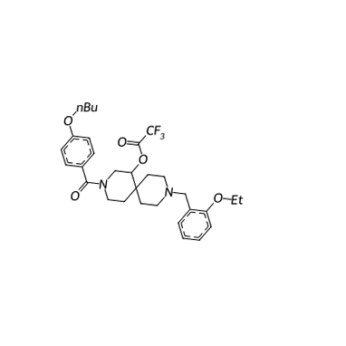 CCCCOc1ccc(C(=O)N2CCC3(CCN(Cc4ccccc4OCC)CC3)C(OC(=O)C(F)(F)F)C2)cc1